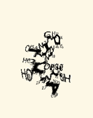 CN(c1nc(Cl)nc2c1ncn2[C@@H]1O[C@H](CN(CC2CC2)C(=O)CP(=O)(O)O)[C@@H](O)[C@H]1O)C1CCCC1